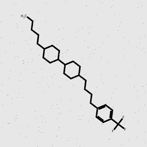 CCCCCC1CCC(C2CCC(CCCCc3ccc(C(F)(F)F)cc3)CC2)CC1